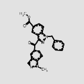 COC(=O)c1ccc2c(c1)c(C(=O)c1ccc3c(cnn3C)c1)nn2Cc1ccccc1